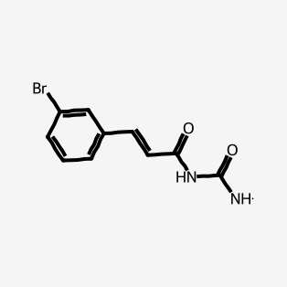 [NH]C(=O)NC(=O)C=Cc1cccc(Br)c1